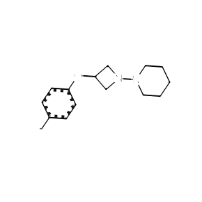 Clc1ccc(OC2CN(N3CCCCC3)C2)cc1